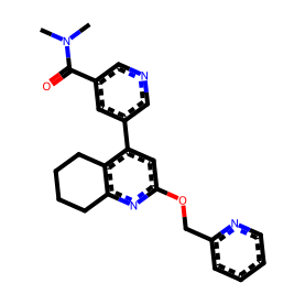 CN(C)C(=O)c1cncc(-c2cc(OCc3ccccn3)nc3c2CCCC3)c1